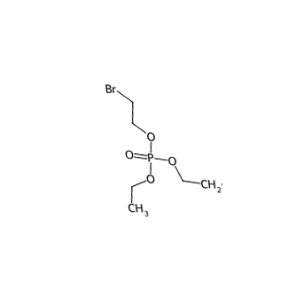 [CH2]COP(=O)(OCC)OCCBr